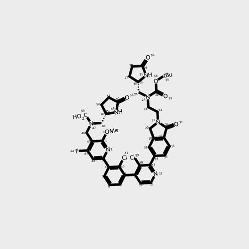 COc1nc(-c2cccc(-c3ccnc(-c4ccc5c(c4)CN(CCN(C[C@@H]4CCC(=O)N4)C(=O)OC(C)(C)C)C5=O)c3Cl)c2Cl)cc(F)c1CN(C[C@@H]1CCC(=O)N1)C(=O)O